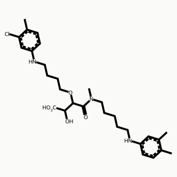 Cc1ccc(NCCCCCN(C)C(=O)C(OCCCCNc2ccc(C)c(Cl)c2)C(O)C(=O)O)cc1C